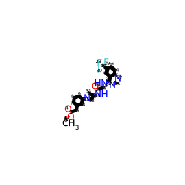 CCOC(=O)CC1CCCC(N2CC(NC(=O)CNc3ncnc4ccc(C(F)(F)F)cc34)C2)C1